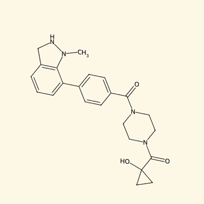 CN1NCc2cccc(-c3ccc(C(=O)N4CCN(C(=O)C5(O)CC5)CC4)cc3)c21